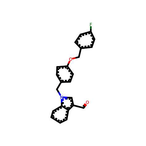 O=Cc1cn(Cc2ccc(OCc3ccc(F)cc3)cc2)c2ccccc12